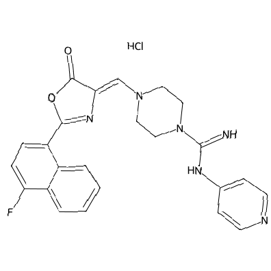 Cl.N=C(Nc1ccncc1)N1CCN(C=C2N=C(c3ccc(F)c4ccccc34)OC2=O)CC1